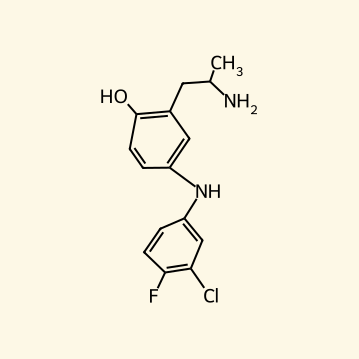 CC(N)Cc1cc(Nc2ccc(F)c(Cl)c2)ccc1O